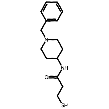 O=C(CCS)NC1CCN(Cc2ccccc2)CC1